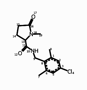 Cc1cc(Cl)cc(C)c1CNC(=O)C1CCC(=O)N1C